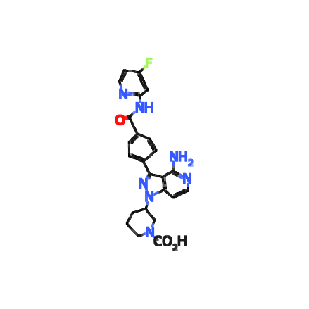 Nc1nccc2c1c(-c1ccc(C(=O)Nc3cc(F)ccn3)cc1)nn2C1CCCN(C(=O)O)C1